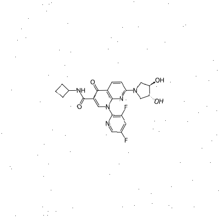 O=C(NC1CCC1)c1cn(-c2ncc(F)cc2F)c2nc(N3C[C@@H](O)[C@H](O)C3)ccc2c1=O